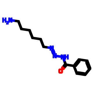 NCCCCCC/N=N/NC(=O)c1ccccc1